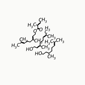 C/C=C(\C)C(=O)OC/C=C(\C)CCC=C(C)C.CC(C)=CCC/C(C)=C\CO.CC(C)=CCCC(C)CCO